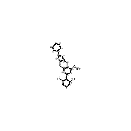 CCc1cccc(CC)c1-c1cc(OC(C)C)c(Cn2cnc(-c3ccccc3)c2)c(C)n1